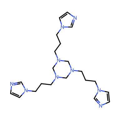 c1cn(CCCN2CN(CCCn3ccnc3)CN(CCCn3ccnc3)C2)cn1